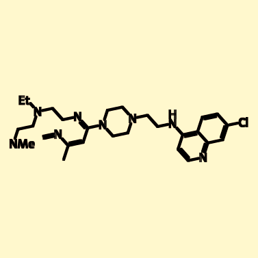 C=N/C(C)=C\C(=N/CCN(CC)CCNC)N1CCN(CCNc2ccnc3cc(Cl)ccc23)CC1